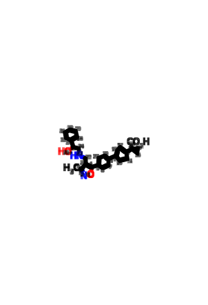 Cc1noc(-c2ccc(-c3ccc(C4(C(=O)O)CC4)cc3)cc2)c1CNCC(O)c1ccccc1